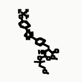 COCCC(C)(C)OC(=O)NC(Cc1ccc(-c2ncn(-c3ccc(OC(F)(F)F)cc3)n2)cc1)C(=O)OC